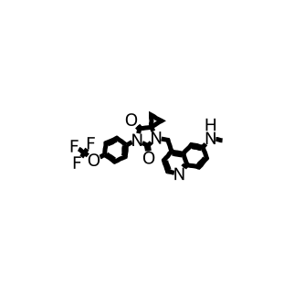 CNc1ccc2nccc(CN3C(=O)N(c4ccc(OC(F)(F)F)cc4)C(=O)C34CC4)c2c1